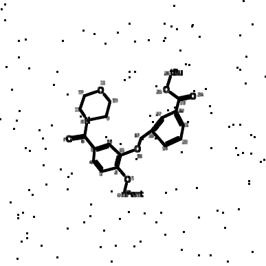 CCCCCOc1ccc(C(=O)N2CCOCC2)cc1OCc1cccc(C(=O)OC(C)(C)C)c1